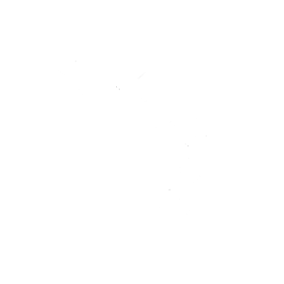 c1ccc2c(c1)-c1ccccc1C21c2ccccc2-c2cc(-n3c4ccccc4c4cc(-c5ccc6c(c5)c5ccccc5n6-c5ccc6oc7ccccc7c6c5)ccc43)ccc21